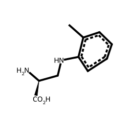 Cc1ccccc1NC[C@H](N)C(=O)O